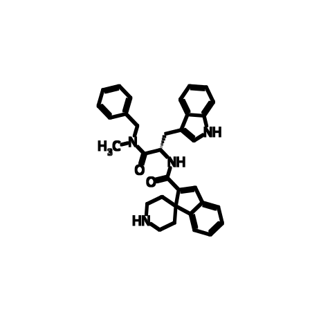 CN(Cc1ccccc1)C(=O)[C@H](Cc1c[nH]c2ccccc12)NC(=O)C1=Cc2ccccc2C12CCNCC2